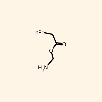 CCCCC(=O)OCN